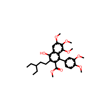 CCC(CC)CCc1c(C(=O)OC)c(-c2ccc(OC)c(OC)c2)c2c(OC)c(OC)c(OC)cc2c1O